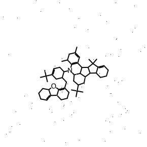 CC1=CC2=C(C(C)C1)N(C1CC=C(C(C)(C)C)CC1CC1=C3OC4CCCC=C4C3CCC1)C1CC(C(C)(C)C)CC3C1C2C1C3C2CCCC=C2C1(C)C